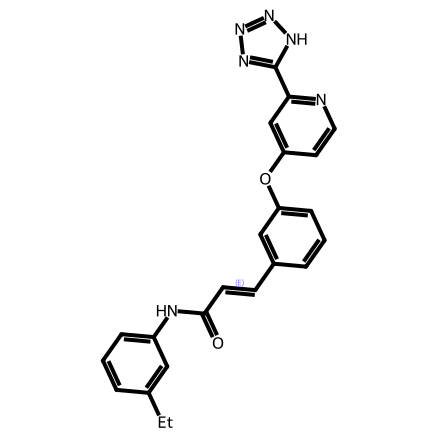 CCc1cccc(NC(=O)/C=C/c2cccc(Oc3ccnc(-c4nnn[nH]4)c3)c2)c1